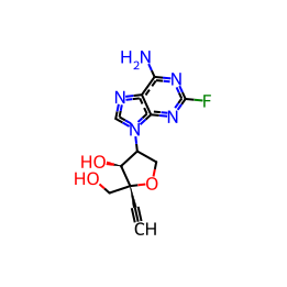 C#C[C@]1(CO)OCC(n2cnc3c(N)nc(F)nc32)[C@@H]1O